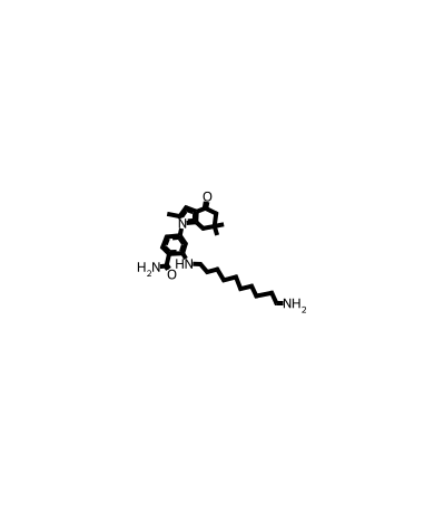 Cc1cc2c(n1-c1ccc(C(N)=O)c(NCCCCCCCCCCN)c1)CC(C)(C)CC2=O